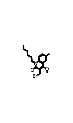 CCCCCCn1c(=O)c(CBr)c(OC)c2cc(C)ccc21